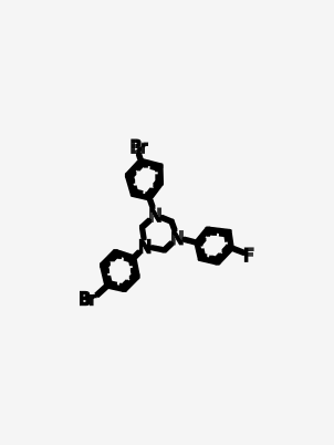 Fc1ccc(N2CN(c3ccc(Br)cc3)CN(c3ccc(Br)cc3)C2)cc1